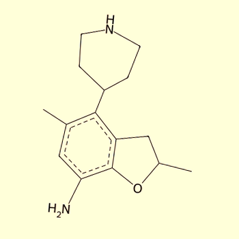 Cc1cc(N)c2c(c1C1CCNCC1)CC(C)O2